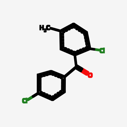 Cc1ccc(Cl)c(C(=O)c2ccc(Cl)cc2)c1